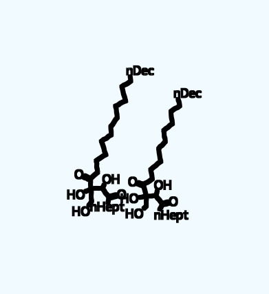 CCCCCCCCCCCCCCCCCCCC(=O)C(O)(CO)C(O)C(=O)CCCCCCC.CCCCCCCCCCCCCCCCCCCCCC(=O)C(O)(CO)C(O)C(=O)CCCCCCC